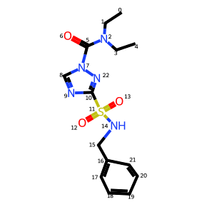 CCN(CC)C(=O)n1cnc(S(=O)(=O)NCc2ccccc2)n1